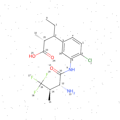 CCC(c1ccc(Cl)c(NC(=O)[C@H](N)[C@@H](C)C(F)(F)F)c1)[C@@H](C)C(=O)O